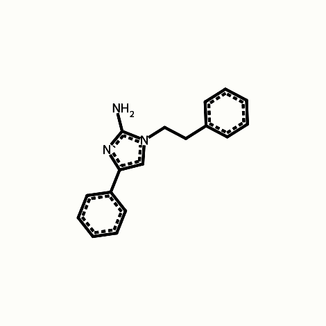 Nc1nc(-c2ccccc2)cn1CCc1ccccc1